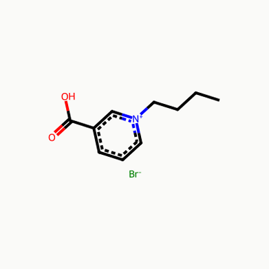 CCCC[n+]1cccc(C(=O)O)c1.[Br-]